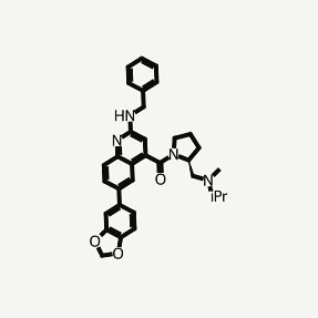 CC(C)N(C)C[C@@H]1CCCN1C(=O)c1cc(NCc2ccccc2)nc2ccc(-c3ccc4c(c3)OCO4)cc12